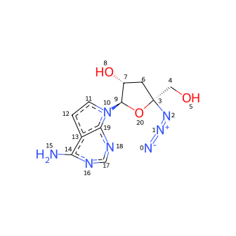 [N-]=[N+]=N[C@]1(CO)C[C@@H](O)[C@H](n2ccc3c(N)ncnc32)O1